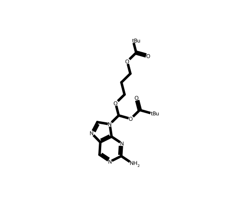 CC(C)(C)C(=O)OCCCOC(OC(=O)C(C)(C)C)n1cnc2cnc(N)nc21